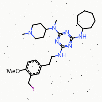 COc1ccc(CCNc2nc(NC3CCCCCC3)nc(N(C)C3CCN(C)CC3)n2)cc1CI